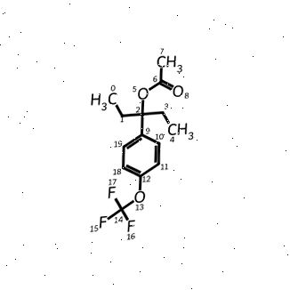 CCC(CC)(OC(C)=O)c1ccc(OC(F)(F)F)cc1